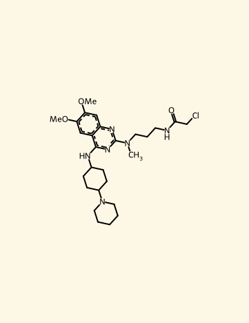 COc1cc2nc(N(C)CCCNC(=O)CCl)nc(NC3CCC(N4CCCCC4)CC3)c2cc1OC